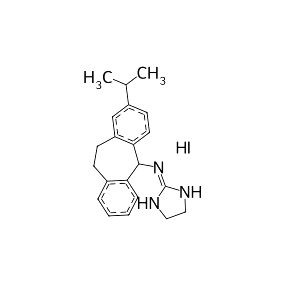 CC(C)c1ccc2c(c1)CCc1ccccc1C2N=C1NCCN1.I